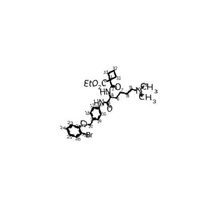 CCOC(=O)C1(C(=O)N[C@@H](CCCCN(C)C)C(=O)Nc2ccc(COc3ccccc3Br)cc2)CCC1